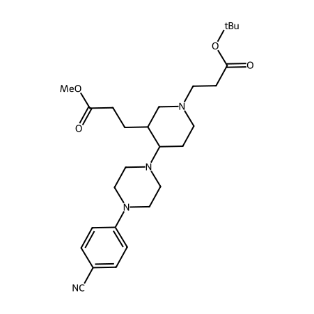 COC(=O)CCC1CN(CCC(=O)OC(C)(C)C)CCC1N1CCN(c2ccc(C#N)cc2)CC1